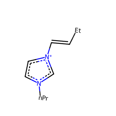 CCC=C[n+]1ccn(CCC)c1